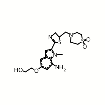 Cn1c(C2=NCC(CN3CCS(=O)(=O)CC3)S2)cc2cc(OCCO)cc(N)c21